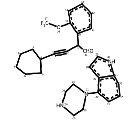 O=CC(C#CC1CCCCC1)c1ccccc1OC(F)(F)F.c1cc(N2CCNCC2)c2cc[nH]c2c1